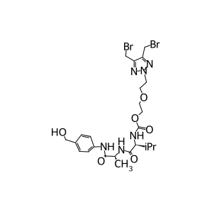 CC(C)[C@H](NC(=O)OCCOCCn1nc(CBr)c(CBr)n1)C(=O)N[C@@H](C)C(=O)Nc1ccc(CO)cc1